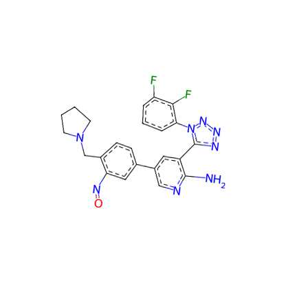 Nc1ncc(-c2ccc(CN3CCCC3)c(N=O)c2)cc1-c1nnnn1-c1cccc(F)c1F